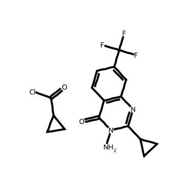 Nn1c(C2CC2)nc2cc(C(F)(F)F)ccc2c1=O.O=C(Cl)C1CC1